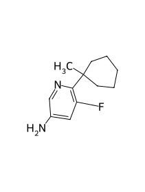 CC1(c2ncc(N)cc2F)CCCCC1